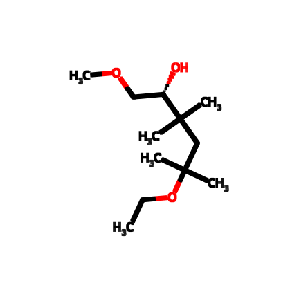 CCOC(C)(C)CC(C)(C)[C@@H](O)COC